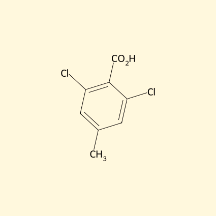 Cc1cc(Cl)c(C(=O)O)c(Cl)c1